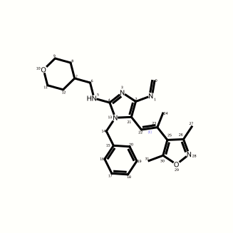 C=Nc1nc(NCC2CCOCC2)n(Cc2ccccc2)c1/C=C(\C)c1c(C)noc1C